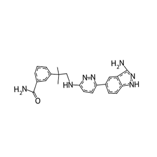 CC(C)(CNc1ccc(-c2ccc3[nH]nc(N)c3c2)nn1)c1cccc(C(N)=O)c1